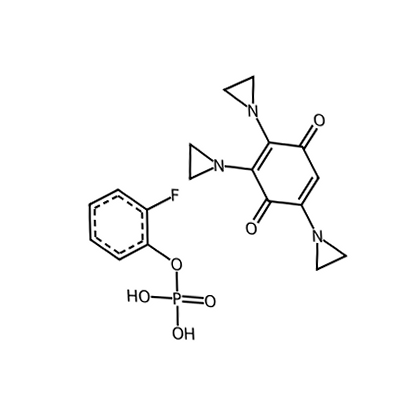 O=C1C=C(N2CC2)C(=O)C(N2CC2)=C1N1CC1.O=P(O)(O)Oc1ccccc1F